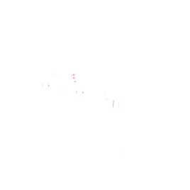 CC(C)(C)CCCCCC(=O)[O-].CCCCC(CC)C(=O)[O-].[Li+].[Li+]